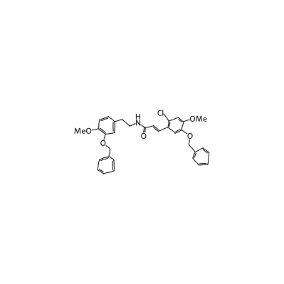 COc1ccc(CCNC(=O)/C=C/c2cc(OCc3ccccc3)c(OC)cc2Cl)cc1OCc1ccccc1